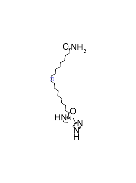 NC(=O)CCCCCCC/C=C\CCCCCCCCC(=O)[C@@]1(Cc2c[nH]cn2)CCN1